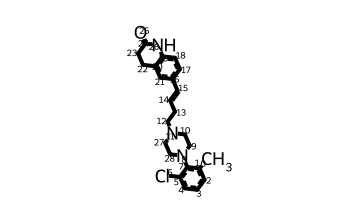 Cc1cccc(Cl)c1N1CCN(CCC=Cc2ccc3c(c2)CCC(=O)N3)CC1